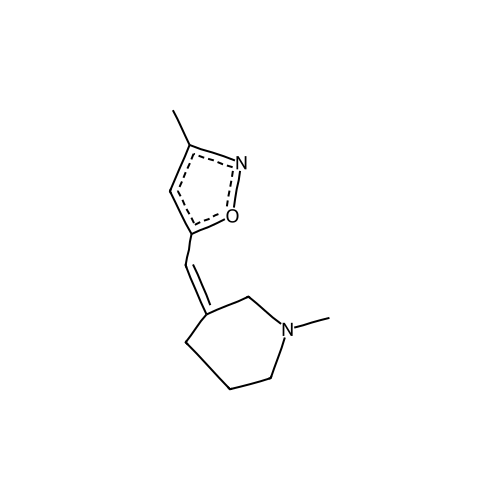 Cc1cc(/C=C2/CCCN(C)C2)on1